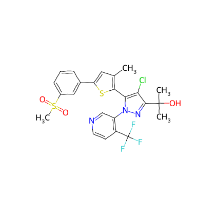 Cc1cc(-c2cccc(S(C)(=O)=O)c2)sc1-c1c(Cl)c(C(C)(C)O)nn1-c1cnccc1C(F)(F)F